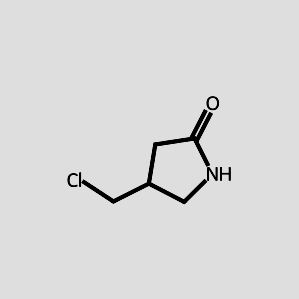 O=C1CC(CCl)CN1